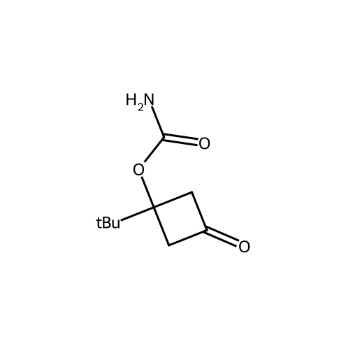 CC(C)(C)C1(OC(N)=O)CC(=O)C1